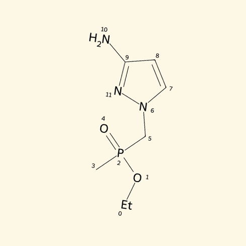 CCOP(C)(=O)Cn1ccc(N)n1